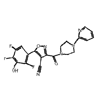 N#Cc1c(C(=O)N2CCN(c3ccccn3)CC2)noc1-c1cc(F)c(F)c(O)c1F